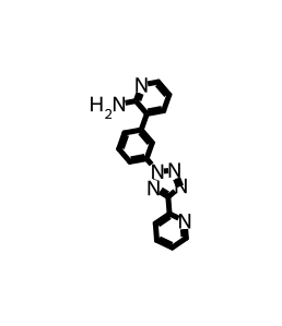 Nc1ncccc1-c1cccc(-n2nnc(-c3ccccn3)n2)c1